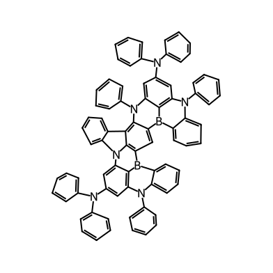 c1ccc(N(c2ccccc2)c2cc3c4c(c2)N(c2ccccc2)c2c(cc5c6c2c2ccccc2n6-c2cc(N(c6ccccc6)c6ccccc6)cc6c2B5c2ccccc2N6c2ccccc2)B4c2ccccc2N3c2ccccc2)cc1